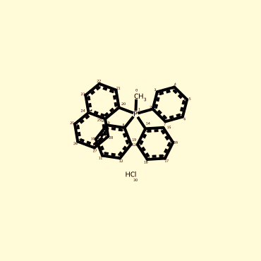 CP(c1ccccc1)(c1ccccc1)(c1ccccc1)c1cccc2ccccc12.Cl